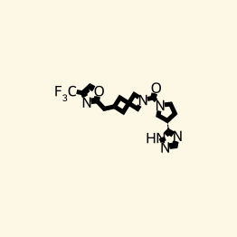 O=C(N1CC[C@H](c2ncn[nH]2)C1)N1CC2(CC(Cc3nc(C(F)(F)F)co3)C2)C1